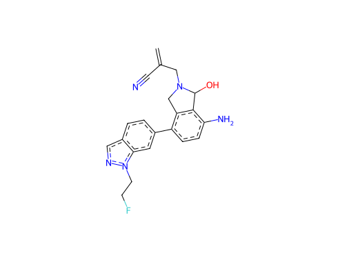 C=C(C#N)CN1Cc2c(-c3ccc4cnn(CCF)c4c3)ccc(N)c2C1O